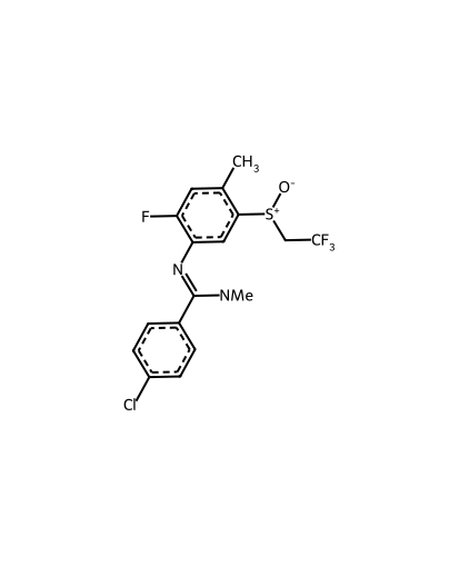 CN/C(=N\c1cc([S+]([O-])CC(F)(F)F)c(C)cc1F)c1ccc(Cl)cc1